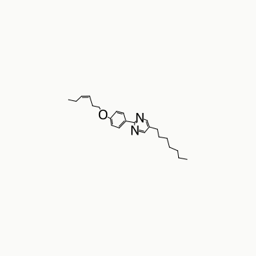 CC/C=C\CCOc1ccc(-c2ncc(CCCCCCC)cn2)cc1